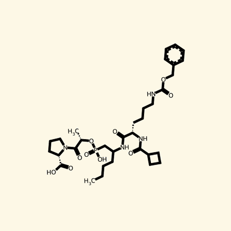 CCCCC(CP(=O)(O)O[C@@H](C)C(=O)N1CCC[C@H]1C(=O)O)NC(=O)[C@H](CCCCNC(=O)OCc1ccccc1)NC(=O)C1CCC1